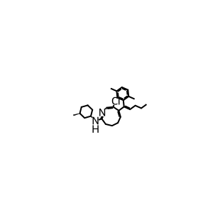 CCC/C=C(/C1=CCCC/C(N[C@@H]2CCC[C@H](C)C2)=N\C=C/1Cl)c1cc(C)ccc1C